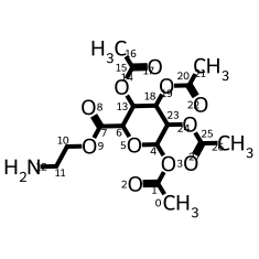 CC(=O)OC1OC(C(=O)OCCN)C(OC(C)=O)C(OC(C)=O)C1OC(C)=O